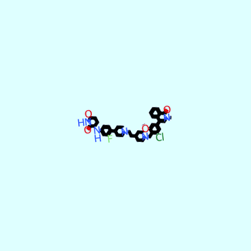 COc1cc(-c2cn(C)c(=O)c3ccccc23)cc(Cl)c1CN1CCC(CCN2CCC(c3ccc(NC4CCC(=O)NC4=O)cc3F)CC2)CC1